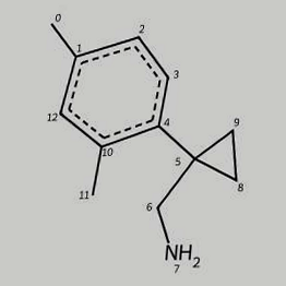 Cc1ccc(C2(CN)CC2)c(C)c1